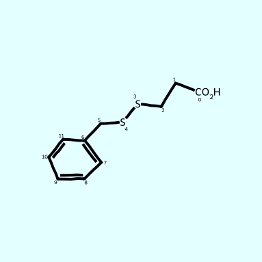 O=C(O)CCSSCc1ccccc1